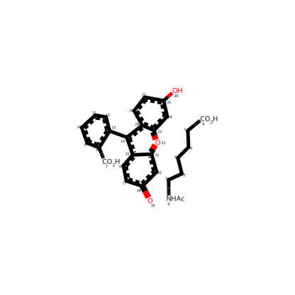 CC(=O)NCCCCCC(=O)O.O=C(O)c1ccccc1-c1c2ccc(=O)cc-2oc2cc(O)ccc12